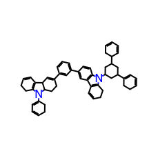 C1=CCCC(C2CC(C3C=CC=CC3)CC(n3c4c(c5cc(-c6cccc(C7=CC8C9=C(CCC=C9)N(C9=CC=CCC9)C8CC7)c6)ccc53)C=CCC4)C2)=C1